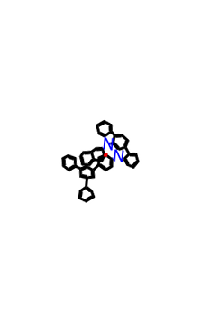 c1ccc(-c2cc(-c3ccccc3)cc(-c3ccc(-n4c5ccccc5c5ccc6c7ccccc7n(-c7ccc8ccccc8c7)c6c54)cc3)c2)cc1